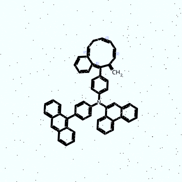 C=C1/C=C\C=C/C/C=c2/cccc/c2=C/1c1ccc(N(c2ccc(-c3c4ccccc4cc4ccccc34)cc2)c2cc3ccccc3c3ccccc23)cc1